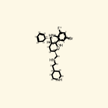 Fc1cc(Br)cc2c1N[C@@H](C1C=CC=CC1)[C@@H]1CC[C@H](CNCCC3CCNCC3)O[C@H]21